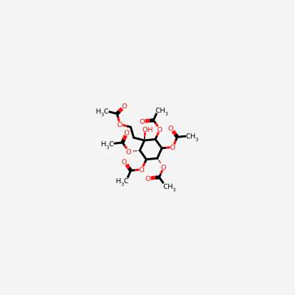 CC(=O)OCC[C@]1(O)C(OC(C)=O)C(OC(C)=O)[C@H](OC(C)=O)C(OC(C)=O)[C@@H]1OC(C)=O